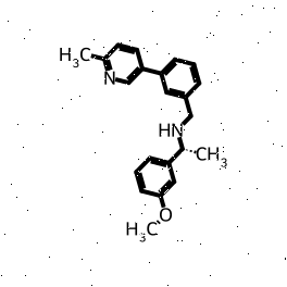 COc1cccc([C@@H](C)NCc2cccc(-c3ccc(C)nc3)c2)c1